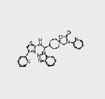 O=C1O[C@]2(CC[C@H](C(Nc3nc(-c4ccccn4)cs3)n3nnc4ccccc43)CC2)CN1c1ccccn1